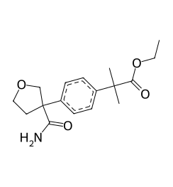 CCOC(=O)C(C)(C)c1ccc(C2(C(N)=O)CCOC2)cc1